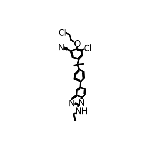 CCNc1ncc2cc(-c3ccc(C(C)(C)c4cc(Cl)c(OCCCl)c(C#N)c4)cc3)ccc2n1